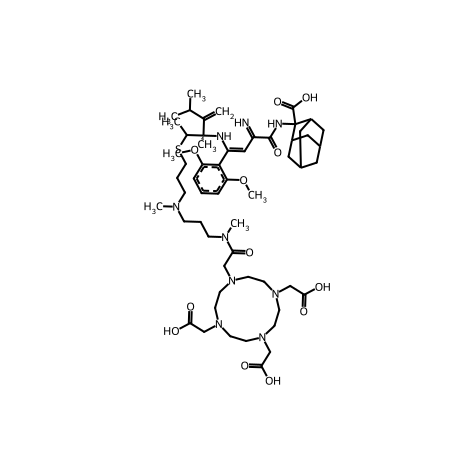 C=C(C(C)C)[C@@](C)(N/C(=C\C(=N)C(=O)NC1(C(=O)O)C2CC3CC(C2)CC1C3)c1c(OC)cccc1OC)C(C)SCCCN(C)CCCN(C)C(=O)CN1CCN(CC(=O)O)CCN(CC(=O)O)CCN(CC(=O)O)CC1